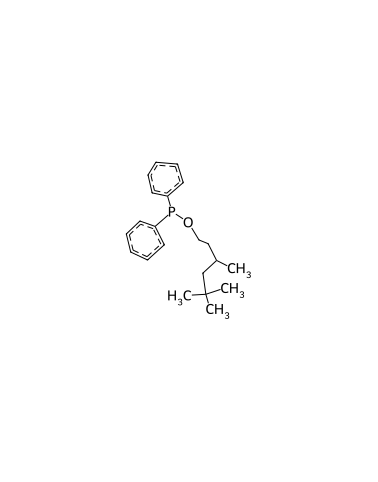 CC(CCOP(c1ccccc1)c1ccccc1)CC(C)(C)C